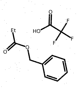 CCC(=O)OCc1ccccc1.O=C(O)C(F)(F)F